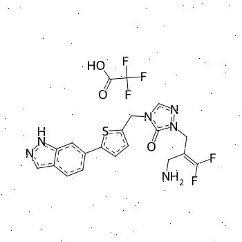 NCC(Cn1ncn(Cc2ccc(-c3ccc4cn[nH]c4c3)s2)c1=O)=C(F)F.O=C(O)C(F)(F)F